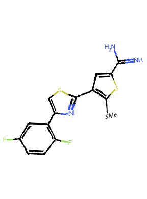 CSc1sc(C(=N)N)cc1-c1nc(-c2cc(F)ccc2F)cs1